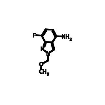 COCn1cc2c(N)ccc(F)c2n1